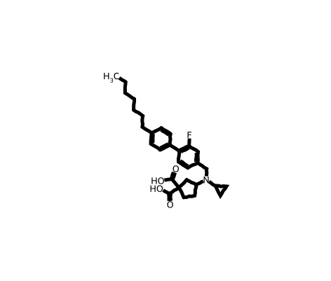 CCCCCCCc1ccc(-c2ccc(CN(C3CC3)C3CCC(C(=O)O)(C(=O)O)C3)cc2F)cc1